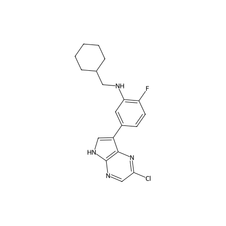 Fc1ccc(-c2c[nH]c3ncc(Cl)nc23)cc1NCC1CCCCC1